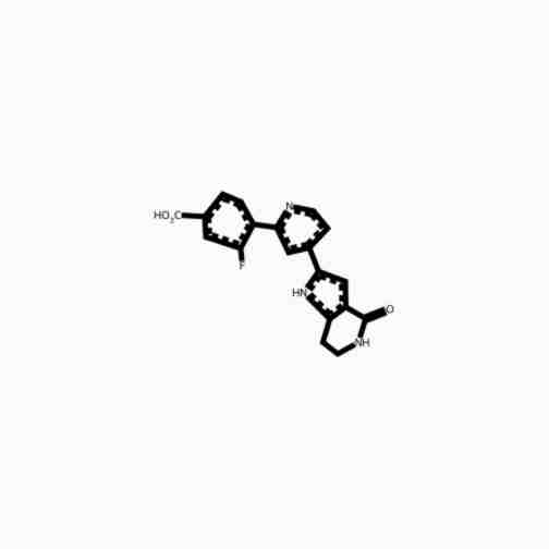 O=C(O)c1ccc(-c2cc(-c3cc4c([nH]3)CCNC4=O)ccn2)c(F)c1